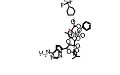 CO[C@](C#N)(COP(=O)(N[C@@H](C)C(=O)OC[C@H]1CC[C@H](C(F)(F)F)CC1)Oc1ccccc1)[C@@H](OC(=O)C(C)C)[C@@H](OC(=O)C(C)C)c1ccc2c(N)ncnn12